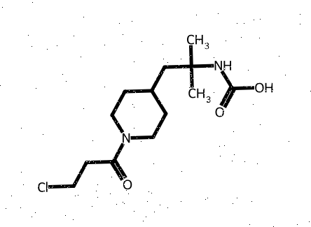 CC(C)(CC1CCN(C(=O)CCCl)CC1)NC(=O)O